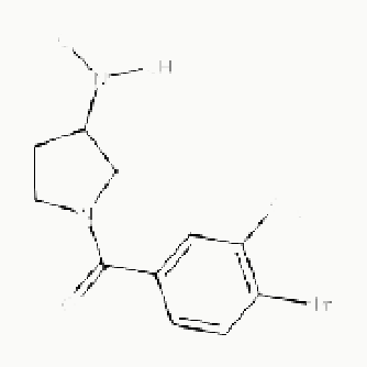 CC(C)c1ccc(C(=O)N2CCC(N(C)C)C2)cc1C(F)(F)F